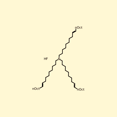 CCCCCCCCC=CCCCCCCCCN(CCCCCCCCC=CCCCCCCCC)CCCCCCCCC=CCCCCCCCC.F